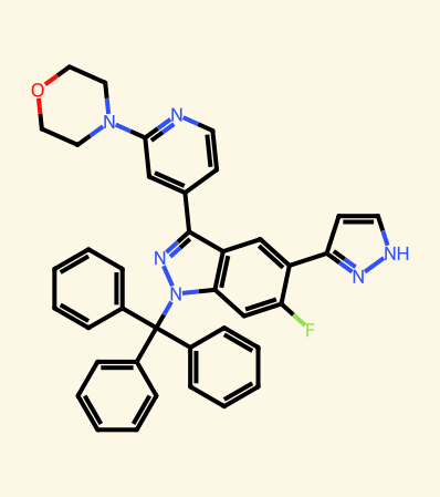 Fc1cc2c(cc1-c1cc[nH]n1)c(-c1ccnc(N3CCOCC3)c1)nn2C(c1ccccc1)(c1ccccc1)c1ccccc1